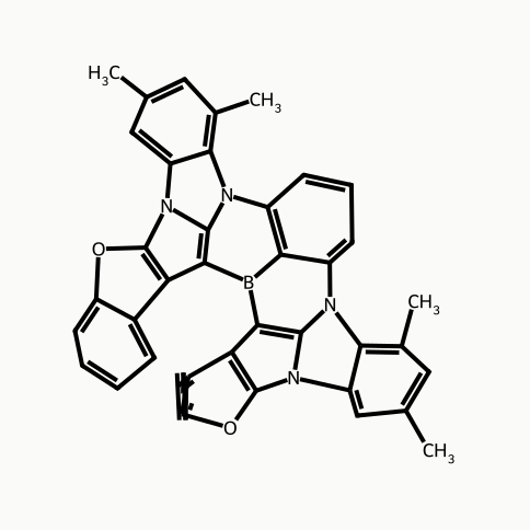 Cc1cc(C)c2c(c1)n1c3oc4ccccc4c3c3c1n2-c1cccc2c1B3c1c3c4ccccc4oc3n3c4cc(C)cc(C)c4n-2c13